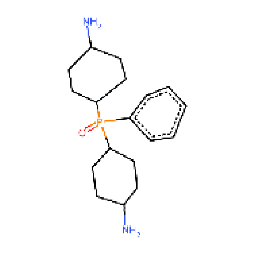 NC1CCC(P(=O)(c2ccccc2)C2CCC(N)CC2)CC1